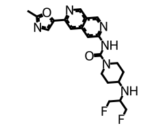 Cc1ncc(-c2cc3cc(NC(=O)N4CCC(NC(CF)CF)CC4)ncc3cn2)o1